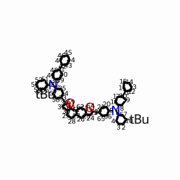 CC(C)(C)c1cccc(N(c2ccc(-c3ccccc3)cc2)c2ccc(-c3cc4cc5ccc6cc(-c7ccc(N(c8ccc(-c9ccccc9)cc8)c8cccc(C(C)(C)C)c8)cc7)oc6c5cc4o3)cc2)c1